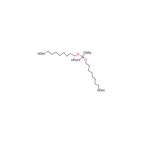 CCCCCCCCCCCCCCCCCCO[Si](CCCCC)(OC)OCCCCCCCCCCCCCCCCCC